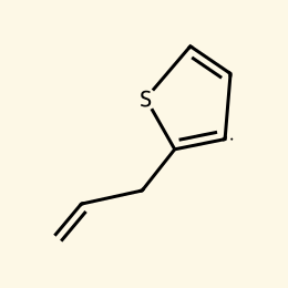 C=CCc1[c]ccs1